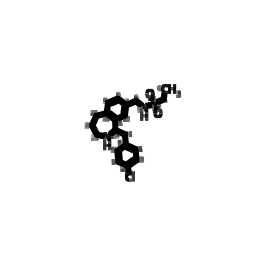 CCS(=O)(=O)NCc1ccc2c(c1)C(Cc1ccc(Cl)cc1)NCCC2